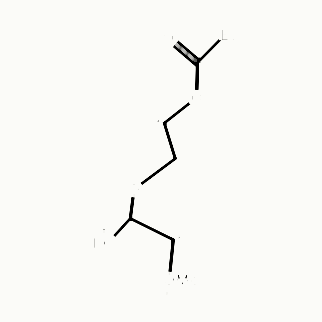 CCC(=O)OCCOC(C)COC